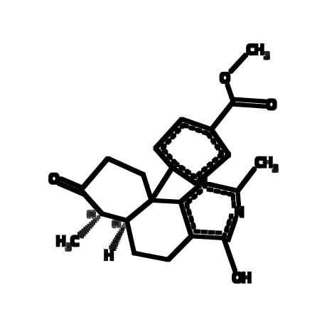 COC(=O)c1ccc(C23CCC(=O)[C@@H](C)[C@@H]2CCc2c(O)nc(C)nc23)cc1